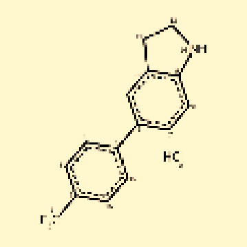 Cl.FC(F)(F)c1ccc(-c2ccc3c(c2)CCN3)cc1